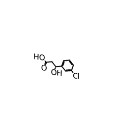 O=C(O)C[C@H](O)c1cccc(Cl)c1